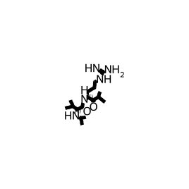 CC(C)N[C@H](C(=O)N[C@@H](CCCNC(=N)N)C(=O)C(C)C)C(C)C